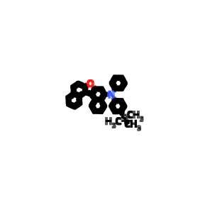 C[Si](C)(C)c1ccc(N(c2ccccc2)c2cc3oc4ccc5ccccc5c4c3c3ccccc23)cc1